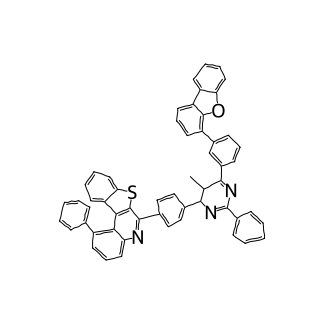 CC1C(c2cccc(-c3cccc4c3oc3ccccc34)c2)=NC(c2ccccc2)=NC1c1ccc(-c2nc3cccc(-c4ccccc4)c3c3c2sc2ccccc23)cc1